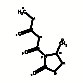 CCC(=O)CC(=O)N1C(=O)CCC1C